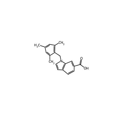 Cc1cc(C)c(Cn2ccc3ccc(C(=O)O)cc32)c(C)c1